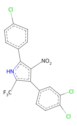 O=[N+]([O-])c1c(-c2ccc(Cl)cc2)[nH]c(C(F)(F)F)c1-c1ccc(Cl)c(Cl)c1